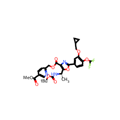 COC(=O)c1ccc(COC(=O)c2nc(-c3ccc(OC(F)F)c(OCC4CC4)c3)oc2[C@H](C)NC(=O)OC(C)(C)C)nc1